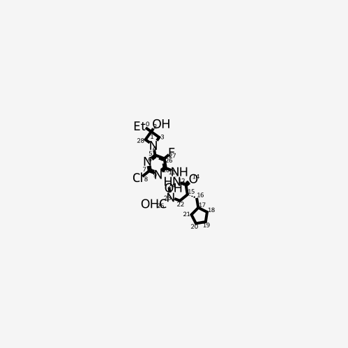 CCC1(O)CN(c2nc(Cl)nc(NNC(=O)[C@H](CC3CCCC3)CN(O)C=O)c2F)C1